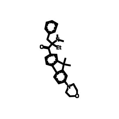 CCC(Cc1ccccc1)(C(=O)c1ccc2c(c1)C(C)(C)c1cc(N3CCOCC3)ccc1-2)N(C)C